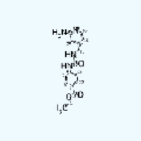 CCOC(=O)c1ccc(NC(=O)NCc2ccnc(N)c2)cc1